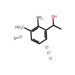 CC(O)c1cccc(C(=O)O)c1[N+](=O)[O-].[Cl-].[Cl-].[Cl-].[Cl-].[Ti+4]